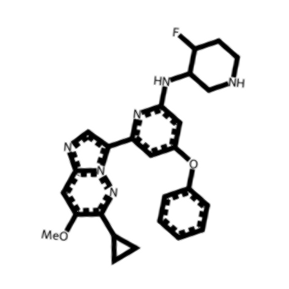 COc1cc2ncc(-c3cc(Oc4ccccc4)cc(NC4CNCCC4F)n3)n2nc1C1CC1